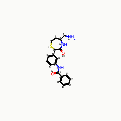 NC[C@@H]1CCS[C@H](c2cccc(NC(=O)c3ccccc3)c2)C(=O)N1